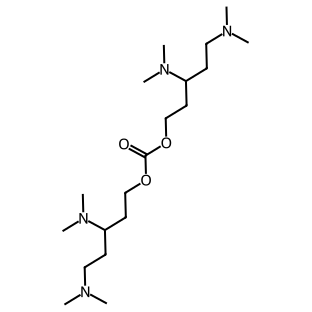 CN(C)CCC(CCOC(=O)OCCC(CCN(C)C)N(C)C)N(C)C